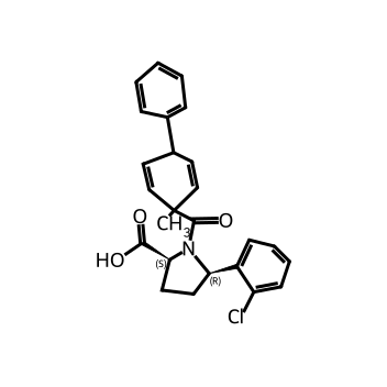 CC1(C(=O)N2[C@@H](c3ccccc3Cl)CC[C@H]2C(=O)O)C=CC(c2ccccc2)C=C1